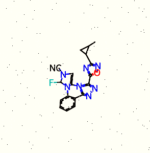 CC1CC1c1noc(-c2nnc3n2C2=CN(C#N)C(F)N2c2ccccc2-3)n1